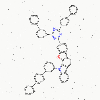 c1ccc(-c2ccc(-c3cccc(-n4c5ccccc5c5ccc6c7ccc(-c8nc(-c9ccc(-c%10ccccc%10)cc9)nc(-c9cccc(-c%10ccccc%10)c9)n8)cc7oc6c54)c3)cc2)cc1